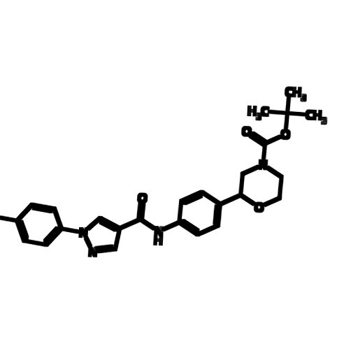 CC(C)(C)OC(=O)N1CCOC(c2ccc(NC(=O)c3cnn(-c4ccc(F)cc4)c3)cc2)C1